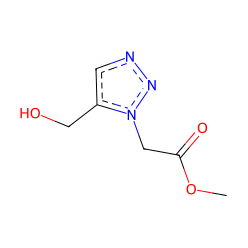 COC(=O)Cn1nncc1CO